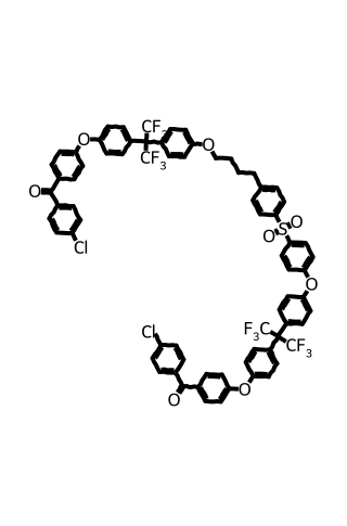 O=C(c1ccc(Cl)cc1)c1ccc(Oc2ccc(C(c3ccc(OCCCCc4ccc(S(=O)(=O)c5ccc(Oc6ccc(C(c7ccc(Oc8ccc(C(=O)c9ccc(Cl)cc9)cc8)cc7)(C(F)(F)F)C(F)(F)F)cc6)cc5)cc4)cc3)(C(F)(F)F)C(F)(F)F)cc2)cc1